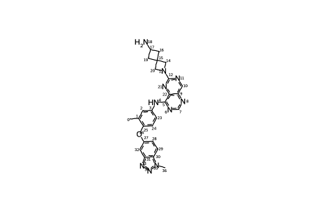 Cc1cc(Nc2ncnc3cnc(N4CC5(CC(N)C5)C4)nc23)ccc1Oc1ccc2c(c1)nnn2C